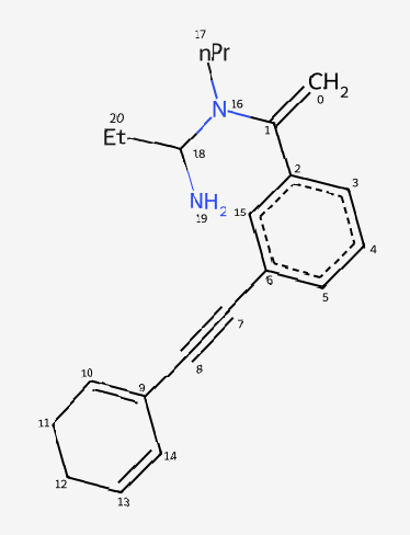 C=C(c1cccc(C#CC2=CCCC=C2)c1)N(CCC)C(N)CC